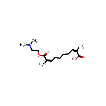 CC(=CCCCCC=C(C)C(=O)OCCN(C)C)C(=O)O